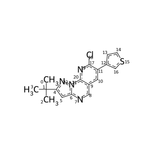 CC(C)(C)c1cc2ncc3cc(-c4ccsc4)c(Cl)nc3n2n1